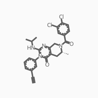 C#Cc1cccc(-n2c(NC(C)C)nc3c(c2=O)C[C@@H](C)N(C(=O)c2ccc(Cl)c(Cl)c2)C3)c1